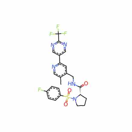 Cc1cnc(-c2cnc(C(F)(F)F)nc2)cc1CNC(=O)[C@@H]1CCCN1S(=O)(=O)c1ccc(F)cc1